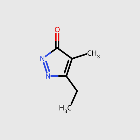 CCC1=C(C)C(=O)N=N1